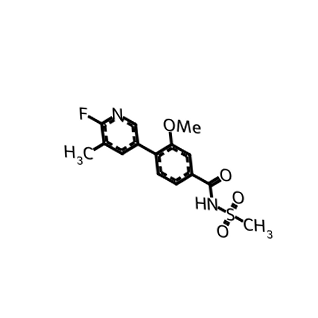 COc1cc(C(=O)NS(C)(=O)=O)ccc1-c1cnc(F)c(C)c1